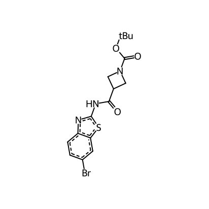 CC(C)(C)OC(=O)N1CC(C(=O)Nc2nc3ccc(Br)cc3s2)C1